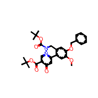 COc1cc2c(cc1OCc1ccccc1)CN(C(=O)OC(C)(C)C)n1cc(C(=O)OC(C)(C)C)c(=O)cc1-2